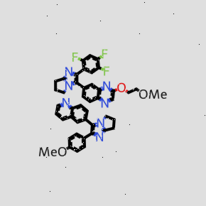 COCCOc1cnc2ccc(-c3c(-c4cc(F)c(F)cc4F)nc4n3CCC4)cc2n1.COc1ccc(-c2nc3n(c2-c2ccc4ncccc4c2)CCC3)cc1